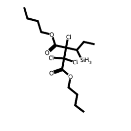 CCCCOC(=O)C(Cl)(Cl)C(Cl)(C(=O)OCCCC)C([SiH3])CC